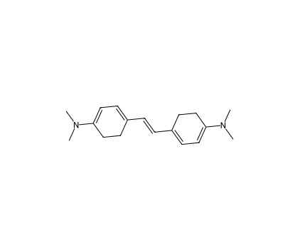 CN(C)C1=CC=C(/C=C/C2=CC=C(N(C)C)CC2)CC1